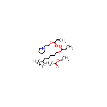 C=CC(=O)OCCCCCC(C)C.C=CC(=O)OCCN1CCCC1.C=COC(C)=O